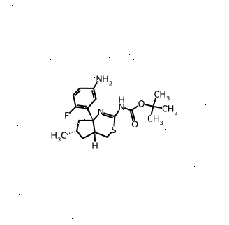 C[C@H]1C[C@H]2CSC(NC(=O)OC(C)(C)C)=N[C@@]2(c2cc(N)ccc2F)C1